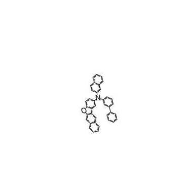 c1ccc(-c2cccc(N(c3ccc4ccccc4c3)c3ccc4oc5cc6ccccc6cc5c4c3)c2)cc1